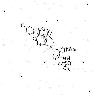 CCOC(=O)C1(c2ccc(F)cc2)ON=C2/C(=C/c3ccc(NS(=O)(=O)CC)c(OC)c3)CCCN21